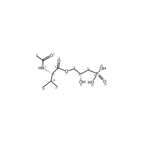 CC(=O)N[C@H](C(=O)OC[C@@H](O)CP(=O)(O)O)C(C)C